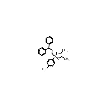 CCO[Si](OCC)(OCC(c1ccccc1)c1ccccc1)c1ccc(C)cc1